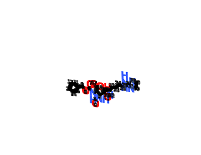 O=CNC(C(NC(=O)OCc1ccccc1)C(=O)O)[C@H]1CC(CCCCN[C@@H]2N=CCN2)=NO1